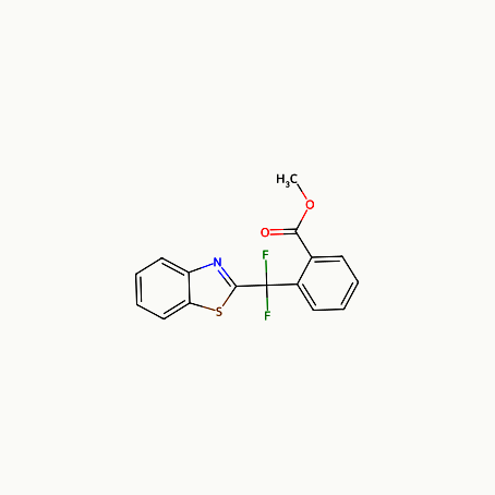 COC(=O)c1ccccc1C(F)(F)c1nc2ccccc2s1